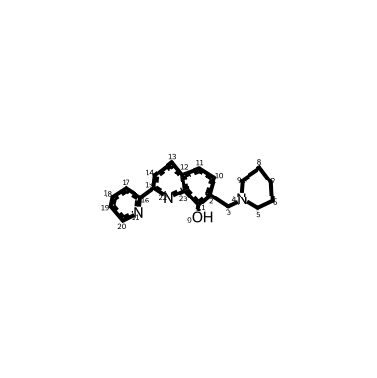 Oc1c(CN2CCCCC2)ccc2ccc(-c3ccccn3)nc12